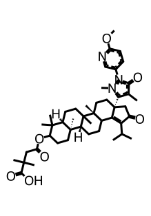 COc1ccc(-n2c(=O)c(C)c([C@@]34CC[C@]5(C)C(CC[C@H]6C5(C)CC[C@H]5C(C)(C)C(OC(=O)CC(C)(C)C(=O)O)CC[C@@]56C)C3=C(C(C)C)C(=O)C4)n2C)cn1